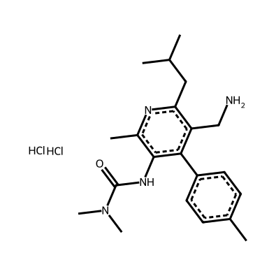 Cc1ccc(-c2c(CN)c(CC(C)C)nc(C)c2NC(=O)N(C)C)cc1.Cl.Cl